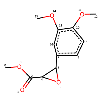 COC(=O)C1OC1c1ccc(OC)c(OC)c1